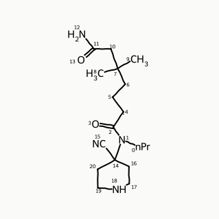 CCCN(C(=O)[CH]CCC(C)(C)CC(N)=O)C1(C#N)CCNCC1